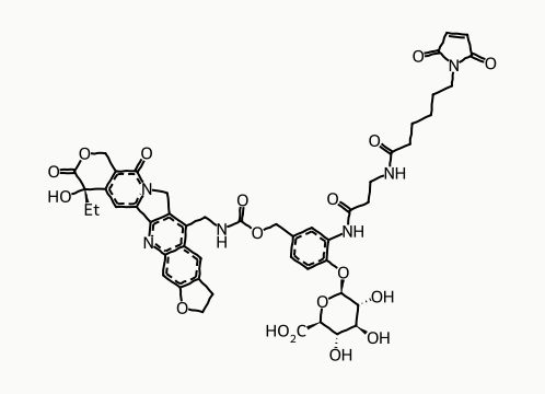 CC[C@@]1(O)C(=O)OCc2c1cc1n(c2=O)Cc2c-1nc1cc3c(cc1c2CNC(=O)OCc1ccc(O[C@@H]2O[C@H](C(=O)O)[C@@H](O)[C@H](O)[C@H]2O)c(NC(=O)CCNC(=O)CCCCCN2C(=O)C=CC2=O)c1)CCO3